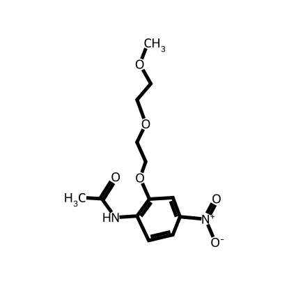 COCCOCCOc1cc([N+](=O)[O-])ccc1NC(C)=O